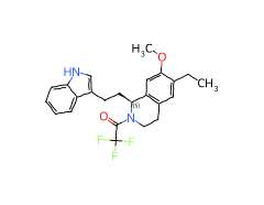 CCc1cc2c(cc1OC)[C@H](CCc1c[nH]c3ccccc13)N(C(=O)C(F)(F)F)CC2